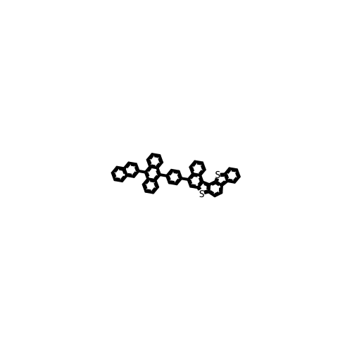 c1ccc2cc(-c3c4ccccc4c(-c4ccc(-c5cc6sc7ccc8c9ccccc9sc8c7c6c6ccccc56)cc4)c4ccccc34)ccc2c1